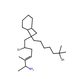 CCC(C/C=C(\C)C(C)N)CC1(CCCCCC(C)(C)C(C)C)CC2CCCCC21